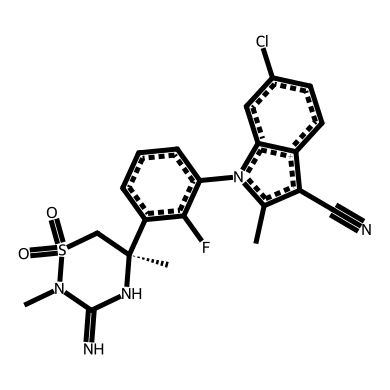 Cc1c(C#N)c2ccc(Cl)cc2n1-c1cccc([C@]2(C)CS(=O)(=O)N(C)C(=N)N2)c1F